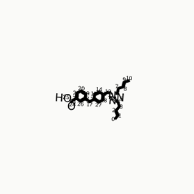 C/C=C/Cc1nc(C/C=C/C)n(Cc2ccc(Cc3cccc(C(=O)O)c3)cc2)n1